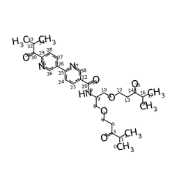 CC(C)C(=O)CCOCC(COCCC(=O)C(C)C)NC(=O)c1ccc(-c2ccc(C(=O)C(C)C)nc2)nc1